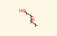 CC(C)=CCCC(C)=CC(=O)CC(C)=CCC/C(C)=C/CO